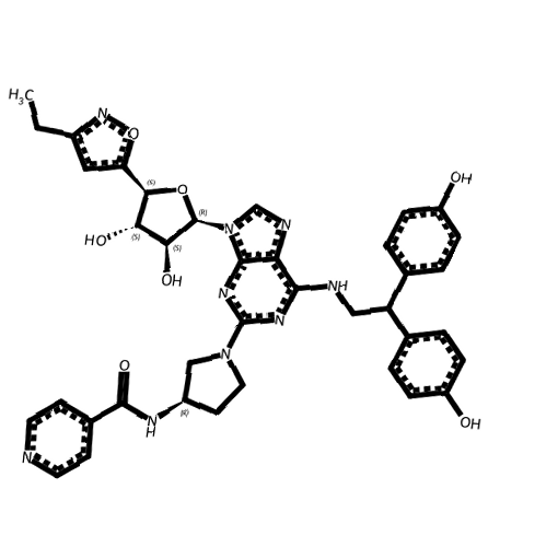 CCc1cc([C@H]2O[C@@H](n3cnc4c(NCC(c5ccc(O)cc5)c5ccc(O)cc5)nc(N5CC[C@@H](NC(=O)c6ccncc6)C5)nc43)[C@@H](O)[C@@H]2O)on1